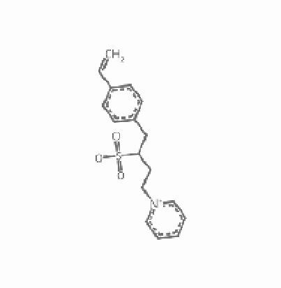 C=Cc1ccc(CC(CC[n+]2ccccc2)S(=O)(=O)[O-])cc1